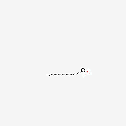 CCCCCCCCCCCCCCCCCCc1cccc(C(=O)O)c1OI